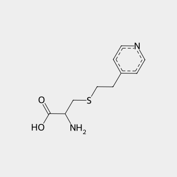 NC(CSCCc1ccncc1)C(=O)O